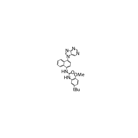 COc1ccc(C(C)(C)C)cc1NC(=O)Nc1ccc(-n2cnc3ncncc32)c2ccccc12